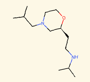 CC(C)CN1CCO[C@@H](CCNC(C)C)C1